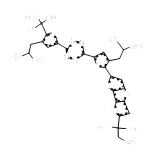 CCCCC(CC)Cc1cc(-c2nnc(-c3cc(CC(CC)CCCC)c(C(C)(C)CC)s3)nn2)sc1-c1cc2sc3cc(C(C)(C)CN)sc3c2s1